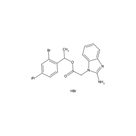 Br.CC(C)c1ccc(C(C)OC(=O)Cn2c(N)nc3ccccc32)c(Br)c1